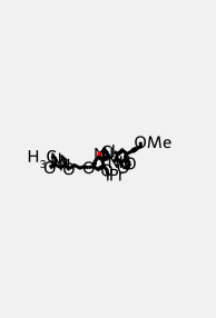 COCC#Cc1cc(Cl)c(Nc2ncnc3cc(OCCCON4CCN(C)C(=O)C4)cc(OC(C)C)c23)c2c1OCO2